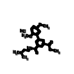 COC(=O)c1cc(C(=O)NCCN(C)C)cc(-c2cc(OC)ccc2OC)c1.Cl